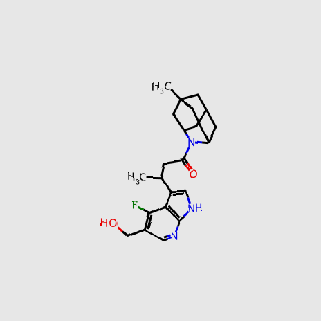 CC(CC(=O)N1C2CC3CC1CC(C)(C3)C2)c1c[nH]c2ncc(CO)c(F)c12